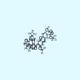 COC(=O)[C@]1(C(=O)OC(C)(C)C)CC[C@@H](Oc2cc(C(=O)N[C@@H]3[C@H]4CC[C@H](C4)[C@@H]3C(=O)NCC3(C)CCC3)c(OC(C)C)cc2F)CC1